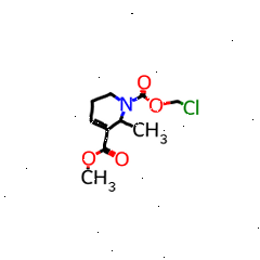 COC(=O)C1=CCCN(C(=O)OCCl)C1C